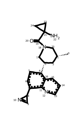 C[C@@H]1C[C@H](c2ccc(C3C=N3)c3ncccc23)CN(C(=O)C2(N)CC2)C1